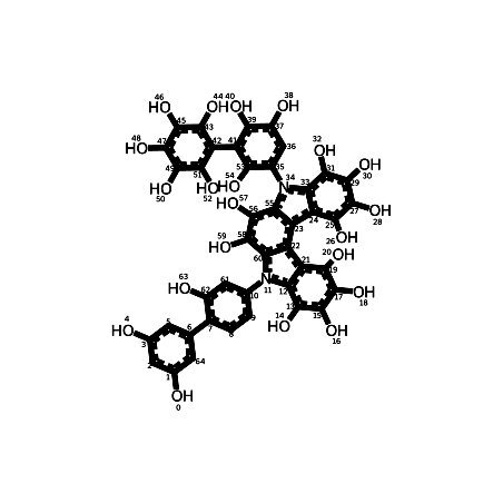 Oc1cc(O)cc(-c2ccc(-n3c4c(O)c(O)c(O)c(O)c4c4c5c6c(O)c(O)c(O)c(O)c6n(-c6cc(O)c(O)c(-c7c(O)c(O)c(O)c(O)c7O)c6O)c5c(O)c(O)c43)cc2O)c1